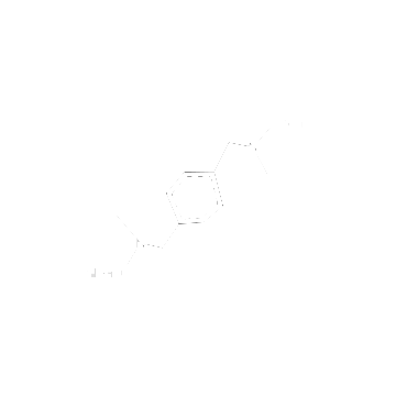 CCCCCN(C)Cc1ccc(CN(C)CCCCC)cc1